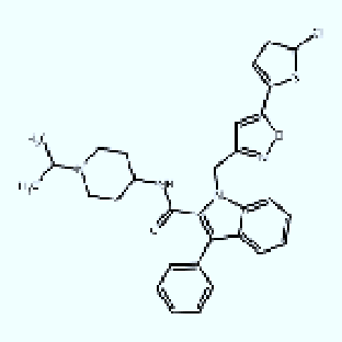 CC(C)N1CCC(NC(=O)c2c(-c3ccccc3)c3ccccc3n2Cc2cc(C3=CCC(Cl)S3)on2)CC1